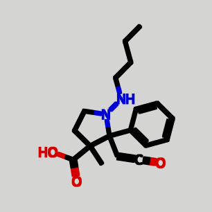 CCCCNN1CCC(C)(C(=O)O)C1(C=C=O)c1ccccc1